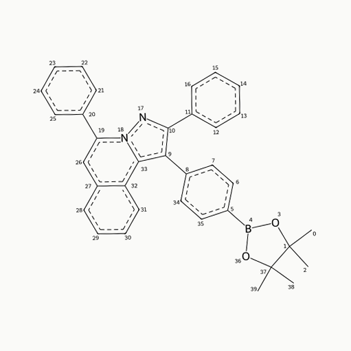 CC1(C)OB(c2ccc(-c3c(-c4ccccc4)nn4c(-c5ccccc5)cc5ccccc5c34)cc2)OC1(C)C